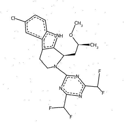 CO[C@@H](C)C[C@@H]1c2[nH]c3ccc(Cl)cc3c2CCN1c1nc(C(F)F)nc(C(F)F)n1